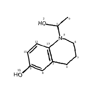 CC(O)N1CCCc2cc(O)ccc21